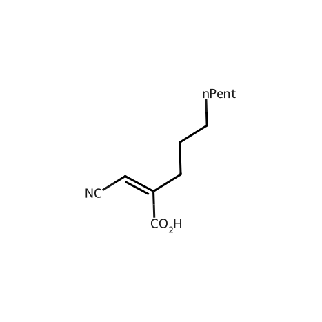 CCCCCCCCC(=CC#N)C(=O)O